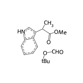 CC(C)(C)OC=O.COC(=O)C(C)c1c[nH]c2ccccc12